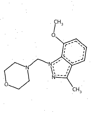 COc1cccc2c(C)nn(CN3CCOCC3)c12